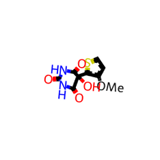 COc1ccsc1C1(O)C(=O)NC(=O)NC1=O